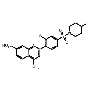 Cc1cc(-c2ccc(S(=O)(=O)N3CCC(F)CC3)cc2F)nc2cc(C(=O)O)ccc12